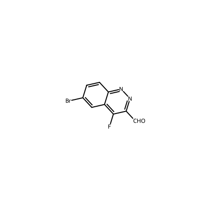 O=Cc1nnc2ccc(Br)cc2c1F